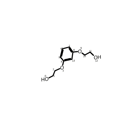 OCCOc1c[c]cc(OCCO)c1